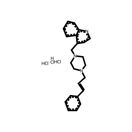 C(=C\c1ccccc1)/CN1CCN(Cc2ccnc3ccccc23)CC1.Cl.Cl.Cl